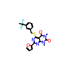 Cn1c(=O)c2c(SCc3cccc(C(C)(F)F)c3)nc(-c3ccco3)nc2n(C)c1=O